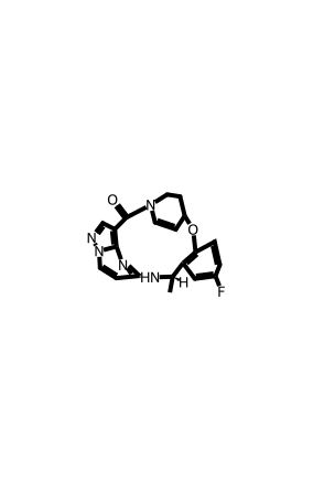 C[C@H]1Nc2ccn3ncc(c3n2)C(=O)N2C=CC(CC2)Oc2ccc(F)cc21